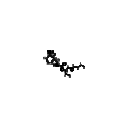 CCCCOC[C@@H](CC)OC(=O)NCc1cccc(N)c1